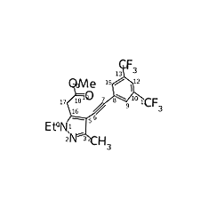 CCn1nc(C)c(C#Cc2cc(C(F)(F)F)cc(C(F)(F)F)c2)c1CC(=O)OC